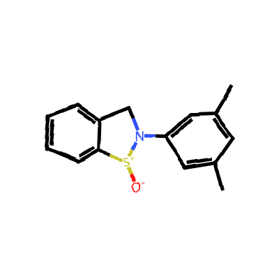 Cc1cc(C)cc(N2Cc3ccccc3[S+]2[O-])c1